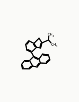 CC(C)C1=Cc2c(cccc2-c2c3ccccc3cc3ccccc23)[CH]1